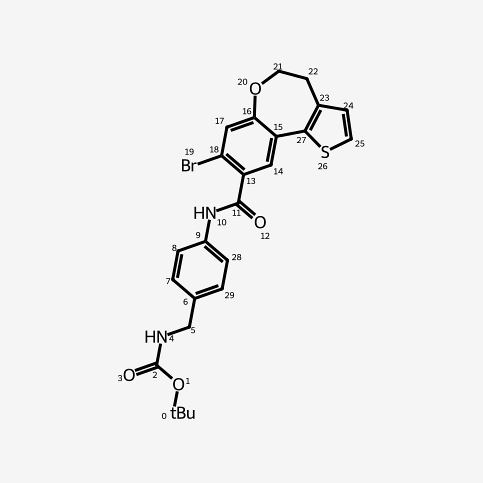 CC(C)(C)OC(=O)NCc1ccc(NC(=O)c2cc3c(cc2Br)OCCc2ccsc2-3)cc1